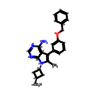 Cc1c(-c2cccc(OCc3ccccc3)c2)c2c(N)ncnc2n1[C@H]1C[C@H](C(=O)O)C1